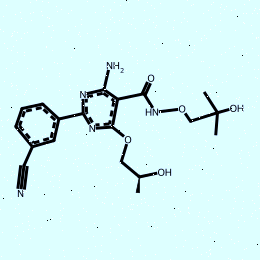 C[C@H](O)COc1nc(-c2cccc(C#N)c2)nc(N)c1C(=O)NOCC(C)(C)O